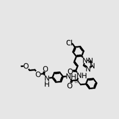 COCCOC(=O)Nc1ccc(NC(=O)[C@H](Cc2ccccc2)NC(=O)C=Cc2cc(Cl)ccc2-n2cnnn2)cc1